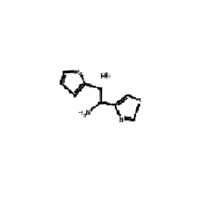 Br.NC(Cc1cccs1)c1cscn1